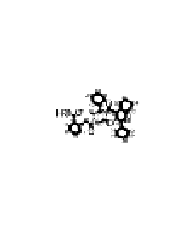 CCC(NC(=O)c1c(OCCNC(=O)Cc2ccccc2C(=O)O)c(-c2ccccc2)nc2ccccc12)c1ccccc1